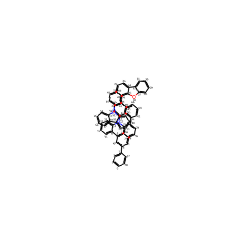 c1ccc(-c2cccc(-c3ccccc3N(c3ccc(-c4cccc5c4oc4ccccc45)cc3)c3ccccc3-c3cccc(-c4ccccc4-n4c5ccccc5c5ccccc54)c3)c2)cc1